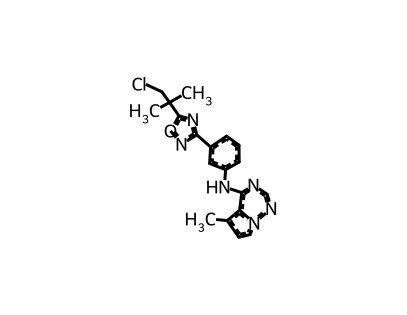 Cc1ccn2ncnc(Nc3cccc(-c4noc(C(C)(C)CCl)n4)c3)c12